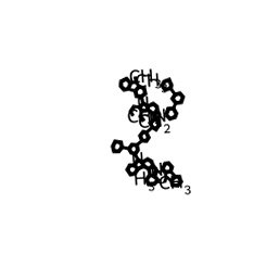 C=Cc1c(/C=C\C)n(-c2ccc3c(c2)-c2ccccc2C3(C)C)c2ccc3c(c4cc(-c5ccc(-c6cc(-c7ccccc7)cc(-n7c8ccccc8c8c9c%10ccccc%10n(-c%10cccc%11c%10C(C)(C)c%10ccccc%10-%11)c9ccc87)c6)cc5)ccc4n3-c3cccc(-c4cccc(-c5ccccc5)c4)c3)c12